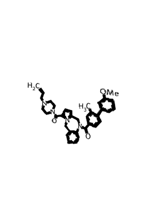 C=CCN1CCN(C(=O)c2ccc3n2Cc2ccccc2N(C(=O)c2ccc(-c4cccc(OC)c4)c(C)c2)C3)CC1